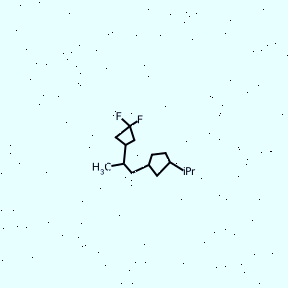 CC(C)C1CCC(CC(C)C2CC(F)(F)C2)C1